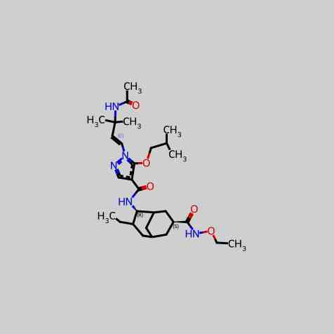 CCONC(=O)[C@H]1CC2CC(CC)[C@@H](NC(=O)c3cnn(/C=C/C(C)(C)NC(C)=O)c3OCC(C)C)C(C2)C1